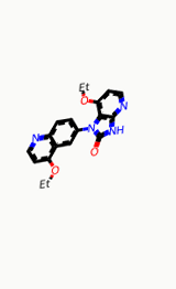 CCOc1ccnc2ccc(-n3c(=O)[nH]c4nccc(OCC)c43)cc12